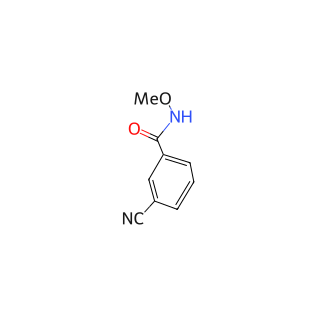 CONC(=O)c1cccc(C#N)c1